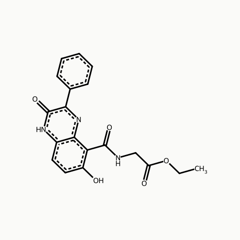 CCOC(=O)CNC(=O)c1c(O)ccc2[nH]c(=O)c(-c3ccccc3)nc12